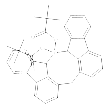 CC(C)(C)C(=O)[O][Ti]1([O]C(=O)C(C)(C)C)[CH]2c3ccccc3-c3cccc(c32)Cc2cccc3c2[CH]1c1ccccc1-3